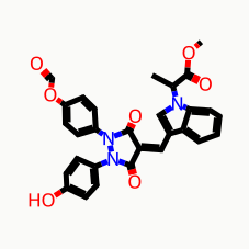 COC(=O)C(C)n1cc(C=C2C(=O)N(c3ccc(O)cc3)N(c3ccc(OC=O)cc3)C2=O)c2ccccc21